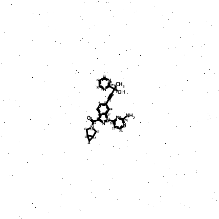 CC(O)(C#Cc1ccc2c(C(=O)N3CC4CC4C3)nn(-c3ccnc(N)n3)c2c1)c1ncccn1